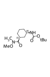 CON(C)C(=O)[C@H]1CCC[C@@H](NC(=O)OC(C)(C)C)C1